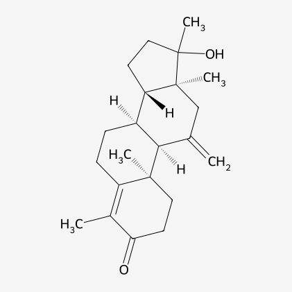 C=C1C[C@@]2(C)[C@@H](CCC2(C)O)[C@@H]2CCC3=C(C)C(=O)CC[C@]3(C)[C@H]12